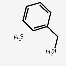 NCc1ccccc1.S